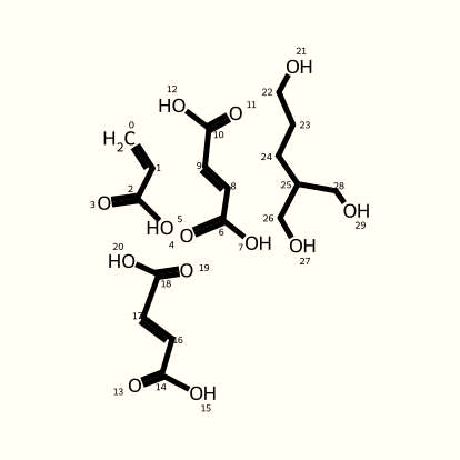 C=CC(=O)O.O=C(O)C=CC(=O)O.O=C(O)C=CC(=O)O.OCCCC(CO)CO